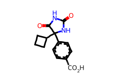 O=C1NC(=O)C(c2ccc(C(=O)O)cc2)(C2CCC2)N1